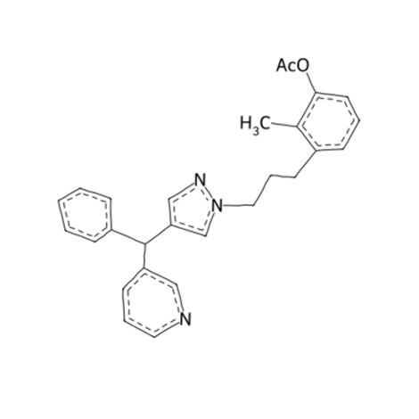 CC(=O)Oc1cccc(CCCn2cc(C(c3ccccc3)c3cccnc3)cn2)c1C